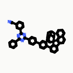 N#Cc1cccc(-c2nc(-c3ccccc3)nc(-c3ccc(-c4ccc(-c5cccc6c5C5(c7c-6ccc6ccccc76)C6CC7CC(C6)CC5C7)cc4)cc3)n2)c1